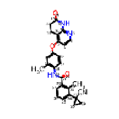 Cc1cc(Oc2ccnc3c2CCC(=O)N3)ccc1NC(=O)c1cccc(C2(C#N)CC2)c1C